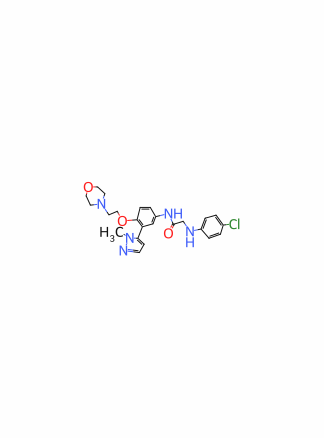 Cn1nccc1-c1cc(NC(=O)CNc2ccc(Cl)cc2)ccc1OCCN1CCOCC1